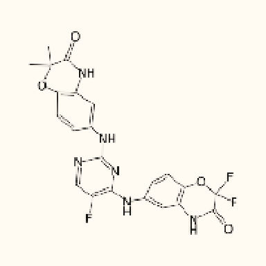 CC1(C)Oc2ccc(Nc3ncc(F)c(Nc4ccc5c(c4)NC(=O)C(F)(F)O5)n3)cc2NC1=O